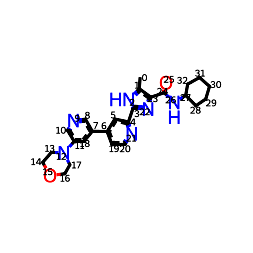 Cc1[nH]c(-c2cc(-c3cncc(N4CCOCC4)c3)ccn2)nc1C(=O)NC1CCCCC1